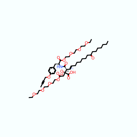 CC#CCOc1ccc(C[C@H](NC(=O)[C@@H](/C=C/CCCCCCC(=O)CCCCCCC)[C@@](O)(CC(=O)OCCOCCOCCOCC)C(=O)O)C(=O)OCCOCCOCCOCC)cc1